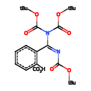 CC(C)(C)OC(=O)/N=C(\c1ccccc1C(=O)O)N(C(=O)OC(C)(C)C)C(=O)OC(C)(C)C